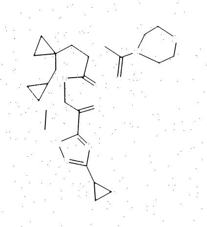 CC[C@H](NC(=O)[C@@H](CC(=O)N1CCOCC1)CC1(CC2CC2)CC1)C(=O)c1nc(C2CC2)no1